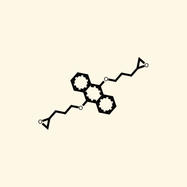 c1ccc2c(OCCCC3CO3)c3ccccc3c(OCCCC3CO3)c2c1